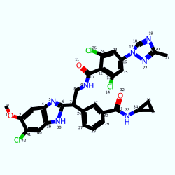 COc1cc2nc(C(CNC(=O)c3c(Cl)cc(-n4cnc(C)n4)cc3Cl)c3cccc(C(=O)NC4CC4)c3)[nH]c2cc1Cl